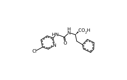 O=C(Nc1ccc(Cl)cn1)N[C@H](Cc1ccccc1)C(=O)O